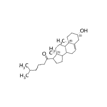 CC(C)CCCC(=O)C1CCC2C3CC=C4C[C@@H](O)CC[C@]4(C)C3CC[C@]12C